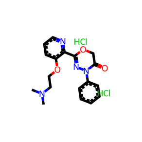 CN(C)CCOc1cccnc1C1=NN(c2ccccc2)C(=O)CO1.Cl.Cl